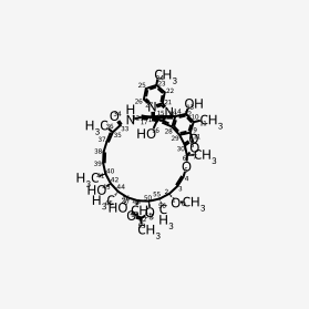 CO[C@H]1/C=C\O[C@@]2(C)Oc3c(C)c(O)c4c(O)c(c5c(nc6cc(C)ccn65)c4c3C2=O)NC(=O)/C(C)=C\C=C/[C@H](C)[C@H](O)[C@@H](C)[C@@H](O)[C@H](C)[C@H](OC(C)=O)[C@H]1C